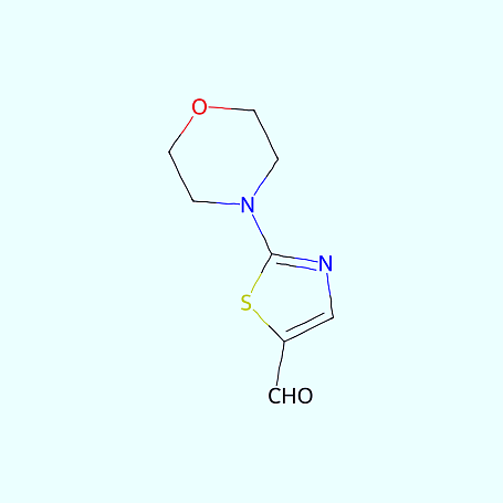 O=Cc1cnc(N2CCOCC2)s1